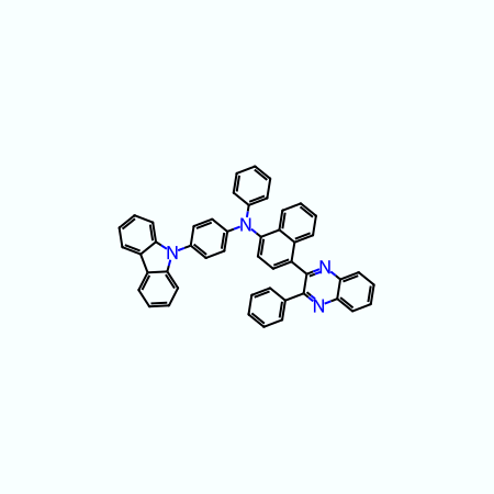 c1ccc(-c2nc3ccccc3nc2-c2ccc(N(c3ccccc3)c3ccc(-n4c5ccccc5c5ccccc54)cc3)c3ccccc23)cc1